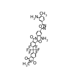 Cc1ccc(-c2nnc(-c3ccc(N4C(=O)c5ccc(C(c6ccc7c(c6)C(=O)N(C)C7=O)(C(F)(F)F)C(F)(F)F)cc5C4=O)c(N)c3)o2)cc1N